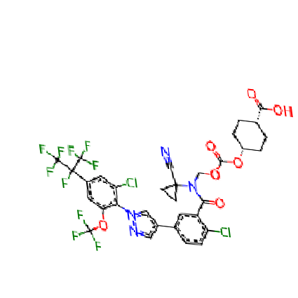 N#CC1(N(COC(=O)O[C@H]2CC[C@@H](C(=O)O)CC2)C(=O)c2cc(-c3cnn(-c4c(Cl)cc(C(F)(C(F)(F)F)C(F)(F)F)cc4OC(F)(F)F)c3)ccc2Cl)CC1